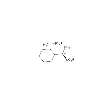 CS(=O)(=O)O.N[C@@H](C(=O)O)C1CCCCC1